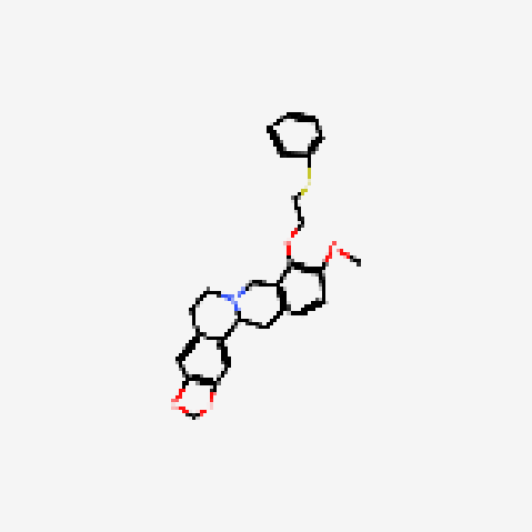 COc1ccc2c(c1OCCSc1ccccc1)CN1CCc3cc4c(cc3C1C2)OCO4